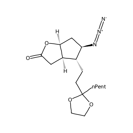 CCCCCC1(CC[C@@H]2[C@H]3CC(=O)O[C@H]3C[C@H]2N=[N+]=[N-])OCCO1